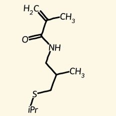 C=C(C)C(=O)NCC(C)CSC(C)C